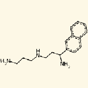 NCCCNCCC(N)c1ccc2ccccc2c1